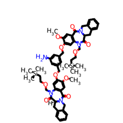 COc1cc2c(cc1OCc1cc(N)cc(COc3cc4c(cc3OC)C(=O)N3Cc5ccccc5C[C@H]3C(=O)N4COCC[Si](C)(C)C)c1)N(COCC[Si](C)(C)C)C(=O)C1Cc3ccccc3CN1C2=O